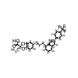 CC(C)(Oc1ccc(SCCc2cccc3cn(-c4ccc(C(F)(F)F)cc4)nc23)cc1)C(=O)O